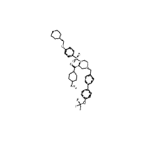 NC1CCN(C(=O)[C@@H]2CN(Cc3ccc(-c4ccc(OC(F)(F)F)cc4)cc3)CCN2S(=O)(=O)c2ccc(OCC3CCCCC3)cc2)CC1